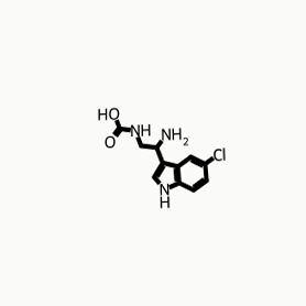 NC(CNC(=O)O)c1c[nH]c2ccc(Cl)cc12